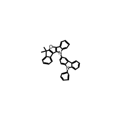 CC1(C)c2ccccc2-c2c1oc1c3ccccc3n(-c3ccc4c(c3)c3ccccc3n4-c3ccccc3)c21